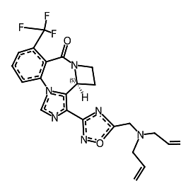 C=CCN(CC=C)Cc1nc(-c2ncn3c2[C@@H]2CCN2C(=O)c2c-3cccc2C(F)(F)F)no1